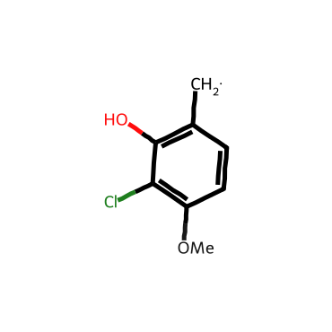 [CH2]c1ccc(OC)c(Cl)c1O